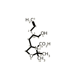 C=CC[C@H](CO)CC1COC(C)(C)N1C(=O)O